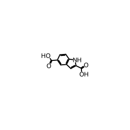 O=C(O)c1ccc2[nH]c(C(=O)O)cc2c1